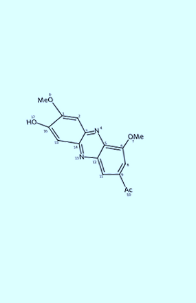 COc1cc2nc3c(OC)cc(C(C)=O)cc3nc2cc1O